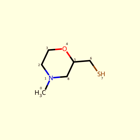 CN1CCOC(CS)C1